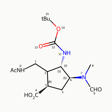 CC(=O)NCC1[C@H](C(=O)O)C[C@H](N(C)C=O)[C@H]1NC(=O)OC(C)(C)C